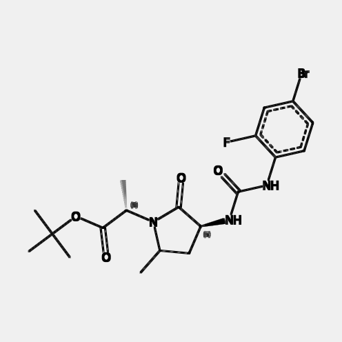 CC1C[C@H](NC(=O)Nc2ccc(Br)cc2F)C(=O)N1[C@@H](C)C(=O)OC(C)(C)C